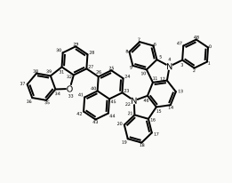 c1ccc(-n2c3ccccc3c3c2ccc2c4ccccc4n(-c4ccc(-c5cccc6c5oc5ccccc56)c5ccccc45)c23)cc1